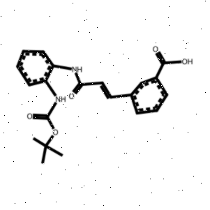 CC(C)(C)OC(=O)Nc1ccccc1NC(=O)C=Cc1cccc(C(=O)O)c1